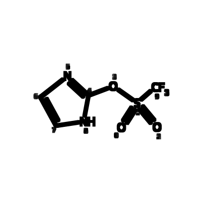 O=S(=O)(Oc1ncc[nH]1)C(F)(F)F